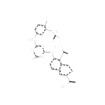 CC(=O)Nc1cc(Nc2nc(O)nc(Nc3ccc4cc(C(=O)O)ccc4c3C(=O)O)n2)ccc1C